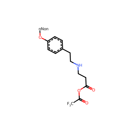 CCCCCCCCCOc1ccc(CCNCCC(=O)OC(=O)C(F)(F)F)cc1